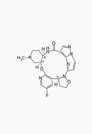 CN1CC[C@H]2NC(=O)c3cnn4ccc(nc34)N3OCC[C@H]3c3cc(F)cnc3O[C@H]2C1